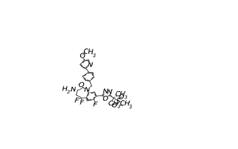 COc1ccc(-c2ccc(CN3C(=O)[C@@H](N)CC(F)(F)c4cc(F)c(-c5nnc(C(C)(C)S(C)(=O)=O)o5)cc43)cc2)nc1